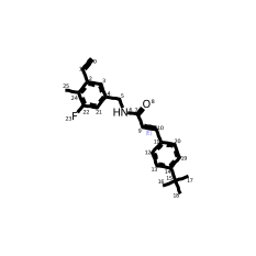 C=Cc1cc(CNC(=O)/C=C/c2ccc(C(C)(C)C)cc2)cc(F)c1C